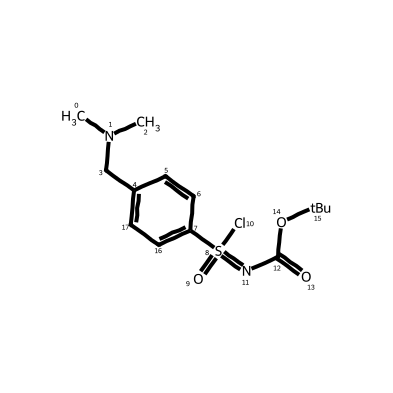 CN(C)Cc1ccc(S(=O)(Cl)=NC(=O)OC(C)(C)C)cc1